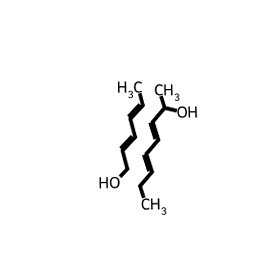 CC=CC=CCO.CCC=CC=CC(C)O